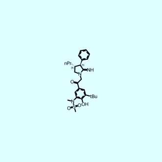 CCC[C@H]1CN(CC(=O)c2cc(N(C)S(C)(=O)=O)c(O)c(C(C)(C)C)c2)C(=N)[C@@H]1c1ccccc1